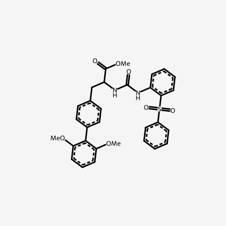 COC(=O)C(Cc1ccc(-c2c(OC)cccc2OC)cc1)NC(=O)Nc1ccccc1S(=O)(=O)c1ccccc1